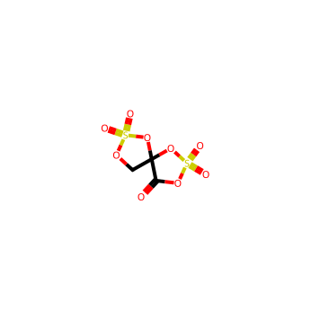 O=C1OS(=O)(=O)OC12COS(=O)(=O)O2